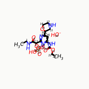 CCNC(=O)C(=O)c1nc(C2CNCCO2)cc(NC(=O)OCC)[n+]1OS(=O)(=O)O.[OH-]